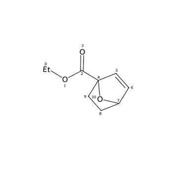 CCOC(=O)C12C=CC(CC1)O2